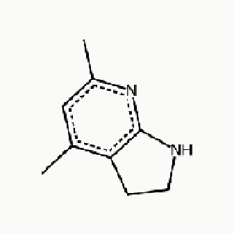 Cc1cc(C)c2c(n1)NCC2